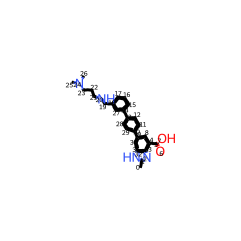 Cc1nc2c(C(=O)O)cc(-c3ccc(-c4cccc(CNCCCN(C)C)c4)cc3)cc2[nH]1